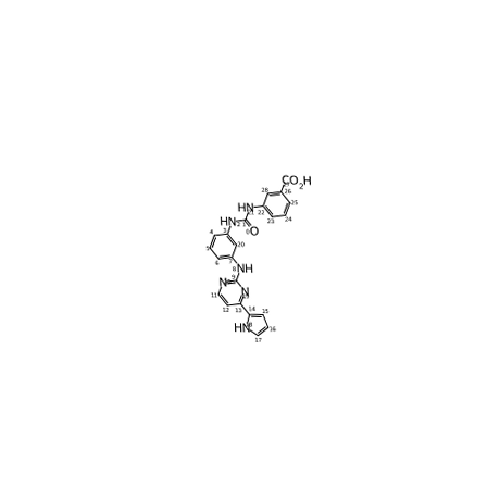 O=C(Nc1cccc(Nc2nccc(-c3ccc[nH]3)n2)c1)Nc1cccc(C(=O)O)c1